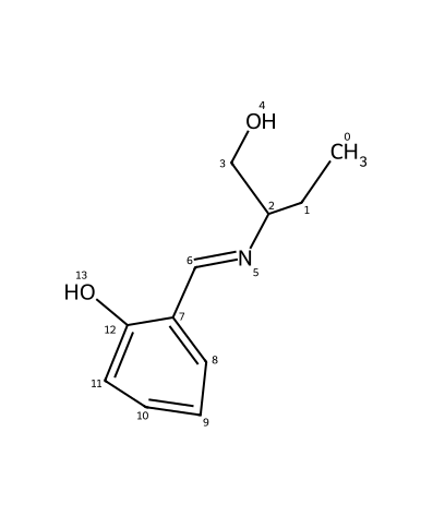 CCC(CO)/N=C/c1ccccc1O